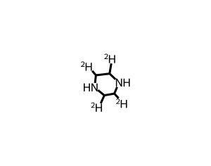 [2H]C1NC([2H])C([2H])NC1[2H]